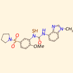 COc1ccc(S(=O)(=O)N2CCCC2)cc1N(S)C(=O)Nc1cccc2c1ncn2C